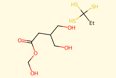 CCC(S)(S)S.O=C(CC(CO)CO)OCO